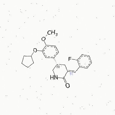 COc1ccc([C@H]2CNC(=O)/C(=C/c3ccccc3F)C2)cc1OC1CCCC1